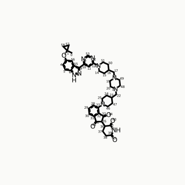 CC1(Oc2ccc3[nH]nc(-c4cc(N5CCC(CN6CCN(CC7CCN(c8cccc9c8C(=O)C(C8CCC(=O)NC8=O)C9=O)CC7)CC6)CC5)ncn4)c3c2)CC1